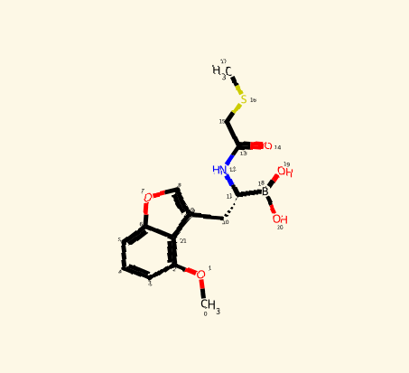 COc1cccc2occ(C[C@H](NC(=O)CSC)B(O)O)c12